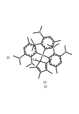 CC1=C(C)[C]([Ti+3])([Si](c2cc(C)cc(N(C)C)c2N(C)C)(c2cc(C)cc(N(C)C)c2N(C)C)c2cc(C)cc(N(C)C)c2N(C)C)C(C)=C1C.[Cl-].[Cl-].[Cl-]